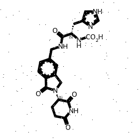 O=C(O)N[C@@H](Cc1c[nH]cn1)C(=O)NCc1ccc2c(c1)CN([C@H]1CCC(=O)NC1=O)C2=O